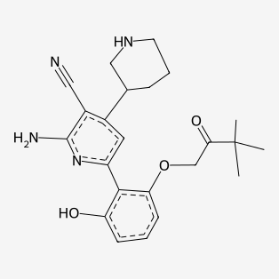 CC(C)(C)C(=O)COc1cccc(O)c1-c1cc(C2CCCNC2)c(C#N)c(N)n1